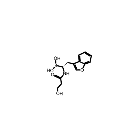 O=C(CCO)N[C@@H](Cc1coc2ccccc12)B(O)O